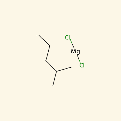 [CH2]CCC(C)C.[Cl][Mg][Cl]